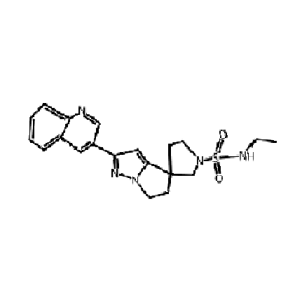 CCNS(=O)(=O)N1CCC2(CCn3nc(-c4cnc5ccccc5c4)cc32)C1